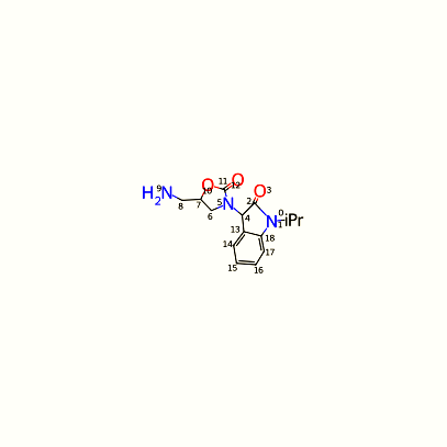 CC(C)N1C(=O)C(N2CC(CN)OC2=O)c2ccccc21